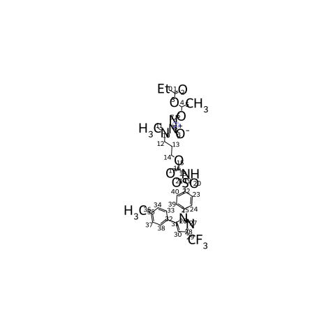 CCC(=O)OC(C)O/N=[N+](\[O-])N(C)CCCOC(=O)NS(=O)(=O)c1ccc(-n2nc(C(F)(F)F)cc2-c2ccc(C)cc2)cc1